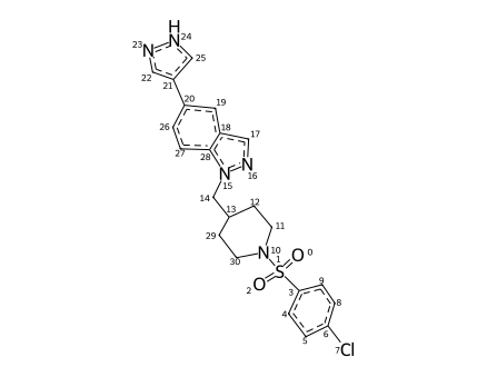 O=S(=O)(c1ccc(Cl)cc1)N1CCC(Cn2ncc3cc(-c4cn[nH]c4)ccc32)CC1